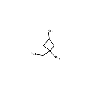 CC(C)(C)C1CC(CO)([N+](=O)[O-])C1